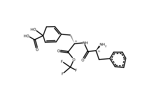 N[C@@H](Cc1ccccc1)C(=O)N[C@@H](CC1=CCC(O)(C(=O)O)C=C1)C(=O)OC(F)(F)F